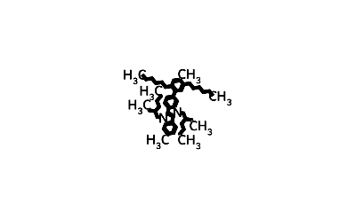 CCCCCCc1cc(-c2ccc3c(c2)n(CC(CC)CCCC)c2c4ccc(C)cc4n(CC(CC)CCCC)c32)c(CCCCCC)cc1C